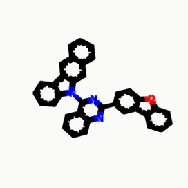 c1ccc2cc3c(cc2c1)c1ccccc1n3-c1nc(-c2ccc3oc4ccccc4c3c2)nc2ccccc12